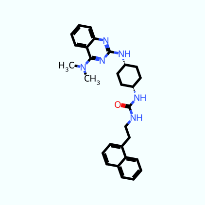 CN(C)c1nc(N[C@H]2CC[C@@H](NC(=O)NCCc3cccc4ccccc34)CC2)nc2ccccc12